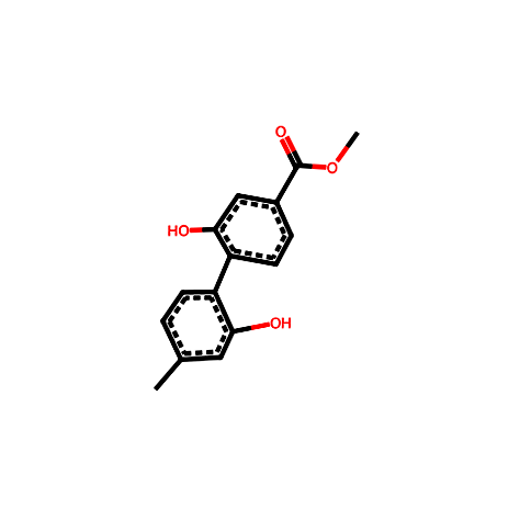 COC(=O)c1ccc(-c2ccc(C)cc2O)c(O)c1